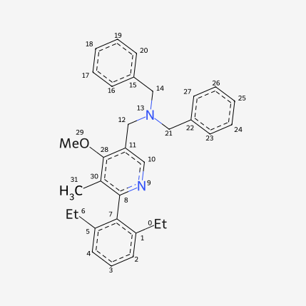 CCc1cccc(CC)c1-c1ncc(CN(Cc2ccccc2)Cc2ccccc2)c(OC)c1C